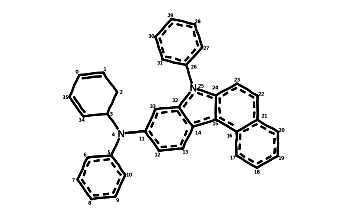 C1=CCC(N(c2ccccc2)c2ccc3c4c5ccccc5ccc4n(-c4ccccc4)c3c2)C=C1